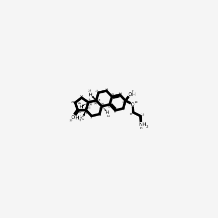 C[C@]12CC[C@@H]3C4=CCC(O)(OCCN)C=C4CC[C@H]3[C@@H]1CCC2=O